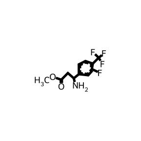 COC(=O)CC(N)c1ccc(C(F)(F)F)c(F)c1